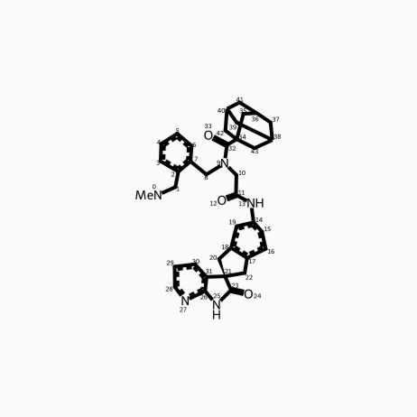 CNCc1ccccc1CN(CC(=O)Nc1ccc2c(c1)C[C@@]1(C2)C(=O)Nc2ncccc21)C(=O)C12CC3CC(CC(C3)C1)C2